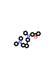 c1ccc(N(c2ccc(-c3cccc4ccc(N(c5ccccc5)c5ccccc5)cc34)cc2)c2ccc3c(c2)oc2ccccc23)cc1